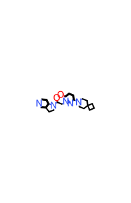 O=C(Cn1nc(N2CCC3(CCC3)CC2)ccc1=O)N1CCc2cnccc21